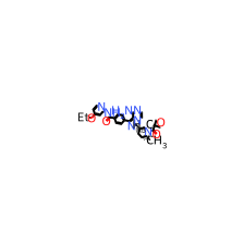 CCOc1ccnc(NC(=O)c2ccc(-c3nc([C@@H]4CC[C@H](C)N(C(=O)C5(C)COC5)C4)n4ccnc(N)c34)cc2)c1